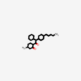 CCCCCC1CCC(C(C(=O)C2CCC(C)CC2=O)C2CCCCC2)CC1